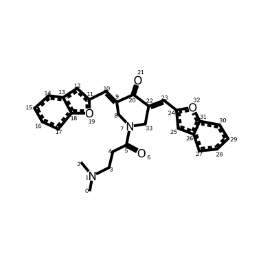 CN(C)CCC(=O)N1CC(=Cc2cc3ccccc3o2)C(=O)C(=Cc2cc3ccccc3o2)C1